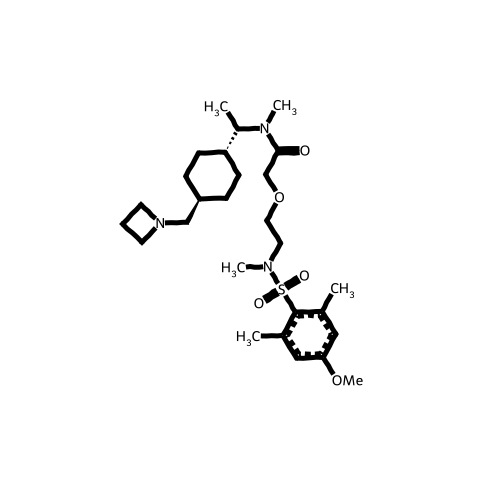 COc1cc(C)c(S(=O)(=O)N(C)CCOCC(=O)N(C)C(C)[C@H]2CC[C@H](CN3CCC3)CC2)c(C)c1